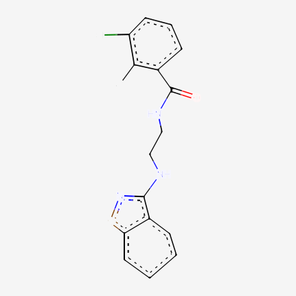 Cc1c(Cl)cccc1C(=O)NCCNc1nsc2ccccc12